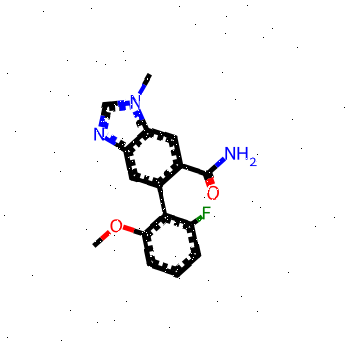 COc1cccc(F)c1-c1cc2ncn(C)c2cc1C(N)=O